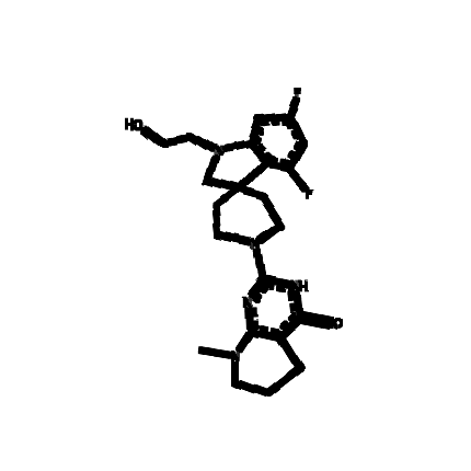 CN1CCCc2c1nc(N1CCC3(CC1)CN(CCO)c1cc(F)cc(F)c13)[nH]c2=O